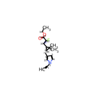 C#CCn1ccc(C[C@@H]2C(/C=C(\F)C(=O)OCC)C2(C)C)c1